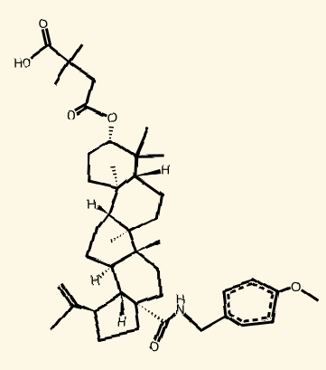 C=C(C)[C@@H]1CC[C@]2(C(=O)NCc3ccc(OC)cc3)CC[C@]3(C)[C@H](CC[C@@H]4[C@@]5(C)CC[C@H](OC(=O)CC(C)(C)C(=O)O)C(C)(C)[C@@H]5CC[C@]43C)[C@@H]12